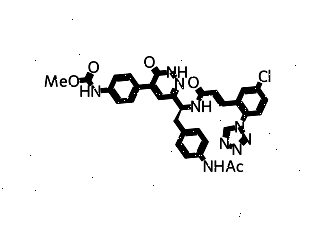 COC(=O)Nc1ccc(-c2cc([C@H](Cc3ccc(NC(C)=O)cc3)NC(=O)/C=C/c3cc(Cl)ccc3-n3cnnn3)n[nH]c2=O)cc1